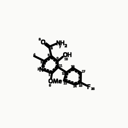 COc1nc(C)c(C(N)=O)c(O)c1-c1ccc(F)cc1